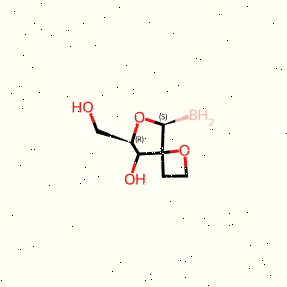 B[C@@H]1O[C@H](CO)C(O)C12CCO2